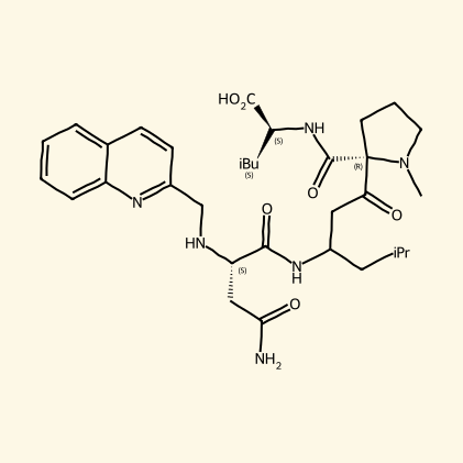 CC[C@H](C)[C@H](NC(=O)[C@]1(C(=O)CC(CC(C)C)NC(=O)[C@H](CC(N)=O)NCc2ccc3ccccc3n2)CCCN1C)C(=O)O